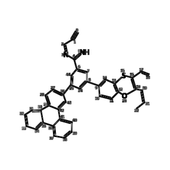 C#C/C=N\C(=N)c1cc(-c2ccc3c(c2)SC(C=C)=C(/C=C\C)O3)cc(-c2ccc3c4ccccc4c4ccccc4c3c2)c1